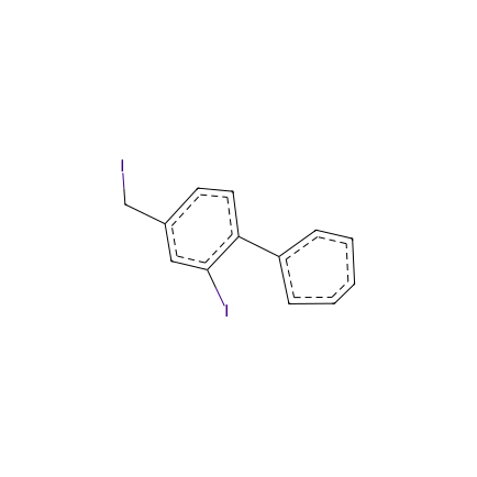 ICc1ccc(-c2ccccc2)c(I)c1